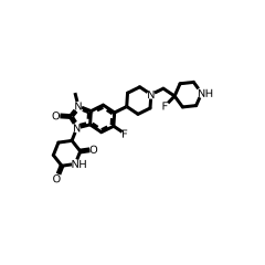 Cn1c(=O)n(C2CCC(=O)NC2=O)c2cc(F)c(C3CCN(CC4(F)CCNCC4)CC3)cc21